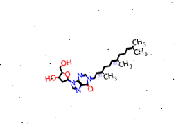 CC(C)=CCC/C(C)=C/CC/C(C)=C/Cn1cnc2c(ncn2C2CC(O)C(CO)O2)c1=O